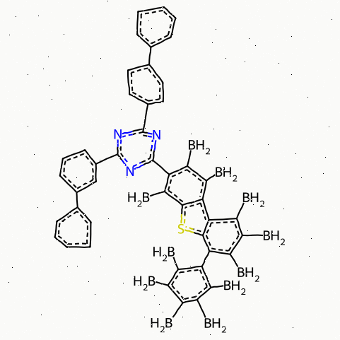 Bc1c(B)c(B)c(-c2c(B)c(B)c(B)c3c2sc2c(B)c(-c4nc(-c5ccc(-c6ccccc6)cc5)nc(-c5cccc(-c6ccccc6)c5)n4)c(B)c(B)c23)c(B)c1B